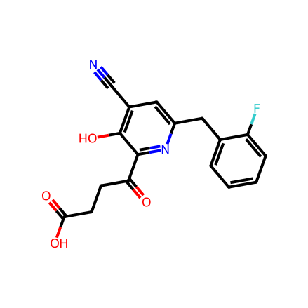 N#Cc1cc(Cc2ccccc2F)nc(C(=O)CCC(=O)O)c1O